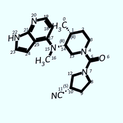 C[C@@H]1CCN(C(=O)N2CC[C@H](C#N)C2)C[C@@H]1N(C)c1ccnc2[nH]ccc12